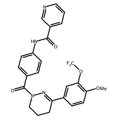 COc1ccc(C2=NN(C(=O)c3ccc(NC(=O)c4cccnc4)cc3)CCC2)cc1OC(F)(F)F